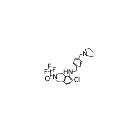 O=C(N1CCc2ccc(Cl)c(NCc3ccc(CN4CCCCC4)cc3)c2CC1)C(F)(F)F